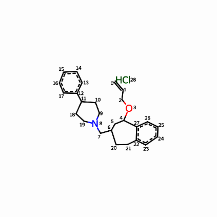 C=CCOC1CC(CN2CCC(c3ccccc3)CC2)CCc2ccccc21.Cl